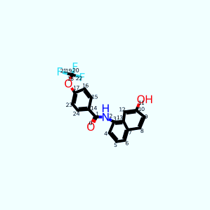 O=C(Nc1cccc2ccc(O)cc12)c1ccc(OC(F)(F)F)cc1